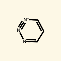 c1cn[n+]#[n+]c1